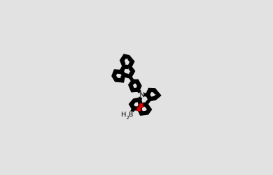 Bc1ccc(N(c2ccc(-c3cc4ccccc4c4ccccc34)cc2)c2ccccc2-c2ccccc2)cc1